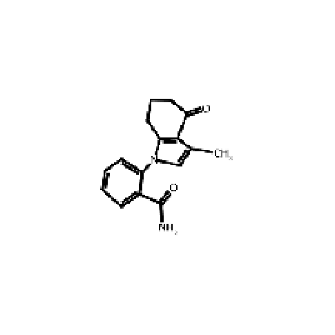 Cc1cn(-c2ccccc2C(N)=O)c2c1C(=O)CCC2